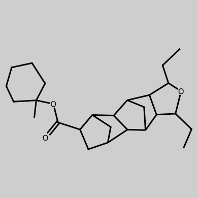 CCC1OC(CC)C2C3CC(C4C5CC(C(=O)OC6(C)CCCCC6)C(C5)C34)C12